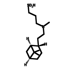 CN(CCCS(=O)(=O)O)CC[C@@H]1CC[C@H]2C[C@@H]1C2(C)C